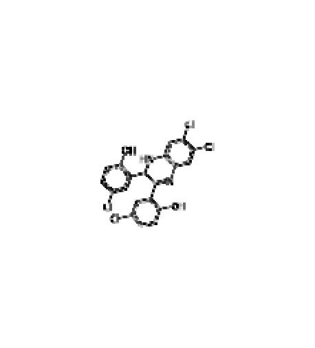 Oc1ccc(Cl)cc1C1=Nc2cc(Cl)c(Cl)cc2NC1c1cc(Cl)ccc1O